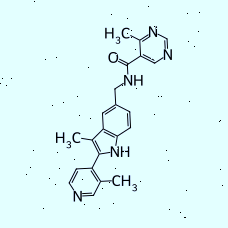 Cc1cnccc1-c1[nH]c2ccc(CNC(=O)c3cncnc3C)cc2c1C